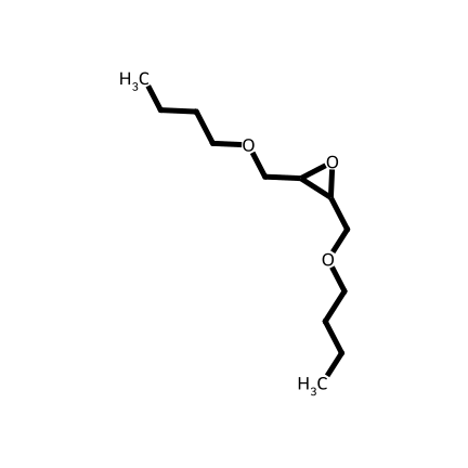 CCCCOCC1OC1COCCCC